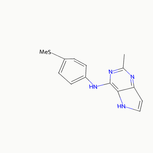 CSc1ccc(Nc2nc(C)nc3cc[nH]c23)cc1